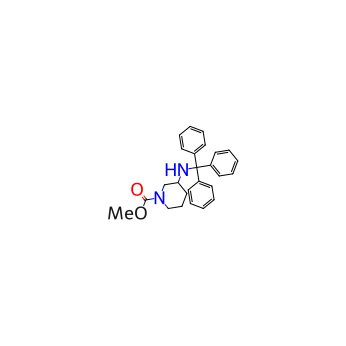 COC(=O)N1CCCC(NC(c2ccccc2)(c2ccccc2)c2ccccc2)C1